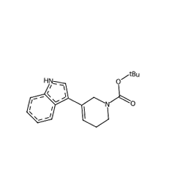 CC(C)(C)OC(=O)N1CCC=C(c2c[nH]c3ccccc23)C1